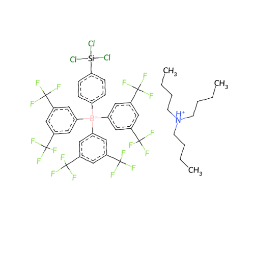 CCCC[NH+](CCCC)CCCC.FC(F)(F)c1cc([B-](c2ccc([Si](Cl)(Cl)Cl)cc2)(c2cc(C(F)(F)F)cc(C(F)(F)F)c2)c2cc(C(F)(F)F)cc(C(F)(F)F)c2)cc(C(F)(F)F)c1